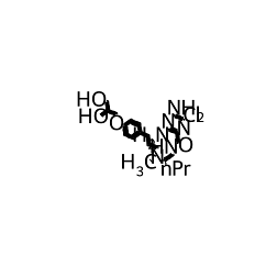 CCC[C@@H](CNC(=O)c1nc(Cl)c(N)nc1N)N(C)CCCc1ccc(OCC(O)CO)cc1